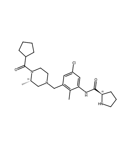 Cc1c(CN2CCN(C(=O)C3CCCC3)[C@@H](C)C2)cc(Cl)cc1NC(=O)[C@H]1CCCN1